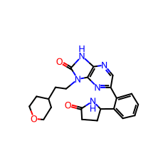 O=C1CCC(c2ccccc2-c2cnc3[nH]c(=O)n(CCC4CCOCC4)c3n2)N1